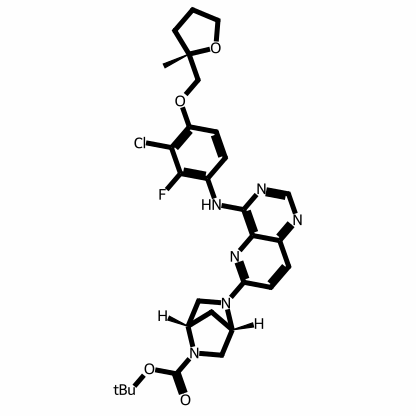 CC(C)(C)OC(=O)N1C[C@@H]2C[C@H]1CN2c1ccc2ncnc(Nc3ccc(OC[C@]4(C)CCCO4)c(Cl)c3F)c2n1